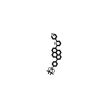 CC1(C)OB(c2ccc(-c3ccc4ccc5c(-c6cccc(-c7ccncc7)n6)ccc6ccc3c4c65)cc2)OC1(C)C